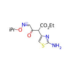 CCOC(=O)C(C(=O)/C=N\OC(C)C)c1csc(N)n1